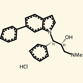 CNC[C@@H](O)[C@H](c1ccccc1)n1ccc2ccc(-c3ccccc3)cc21.Cl